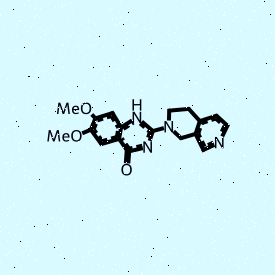 COc1cc2[nH]c(N3CCc4ccncc4C3)nc(=O)c2cc1OC